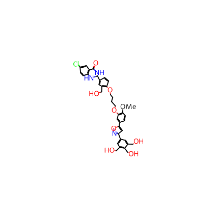 COc1ccc(-c2cc(-c3cc(CO)c(CO)c(CO)c3)no2)cc1OCCCCOc1ccc(C2NC(=O)c3cc(Cl)ccc3N2)cc1CO